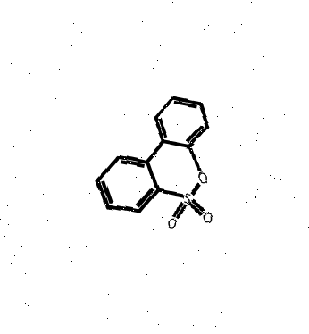 O=S1(=O)Oc2ccccc2-c2ccccc21